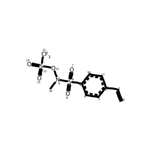 C=Cc1ccc(S(=O)(=O)N(C)OS(=O)(=O)C(F)(F)F)cc1